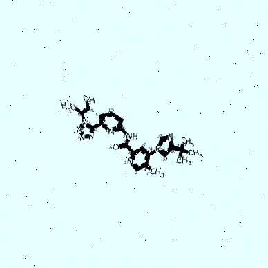 Cc1cnc(C(=O)Nc2cccc(-c3nnnn3C(C)CO)n2)cc1-n1cnc(C(C)(C)C)c1